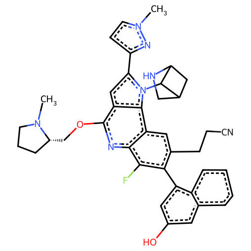 CN1CCC[C@H]1COc1nc2c(F)c(-c3cc(O)cc4ccccc34)c(CCC#N)cc2c2c1cc(-c1ccn(C)n1)n2C1C2CNC1C2